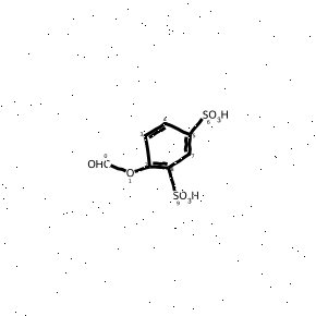 O=COc1ccc(S(=O)(=O)O)cc1S(=O)(=O)O